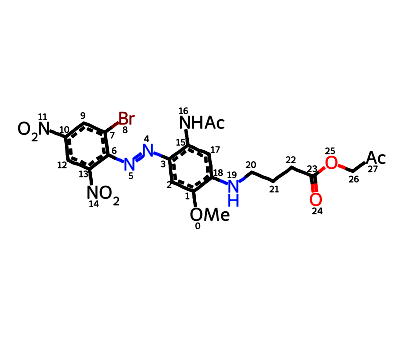 COc1cc(/N=N/c2c(Br)cc([N+](=O)[O-])cc2[N+](=O)[O-])c(NC(C)=O)cc1NCCCC(=O)OCC(C)=O